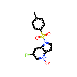 Cc1ccc(S(=O)(=O)n2ccc3c2cc(F)c[n+]3[O-])cc1